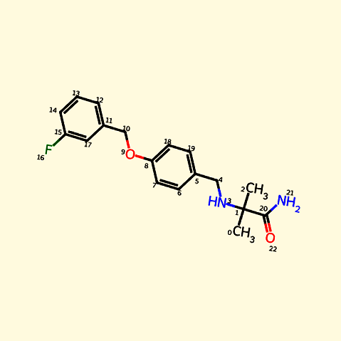 CC(C)(NCc1ccc(OCc2cccc(F)c2)cc1)C(N)=O